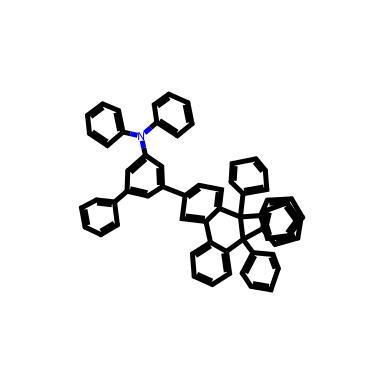 c1ccc(-c2cc(-c3ccc4c(c3)-c3ccccc3C(c3ccccc3)(c3ccccc3)C4(c3ccccc3)c3ccccc3)cc(N(c3ccccc3)c3ccccc3)c2)cc1